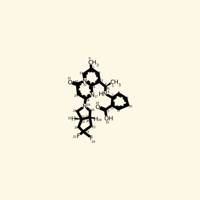 Cc1cc([C@@H](C)Nc2ccccc2C(=O)O)c2nc(N3C[C@@H]4CC(F)(F)C[C@@H]4C3)cc(=O)n2c1